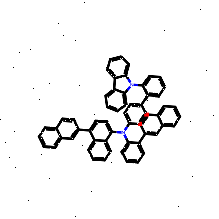 c1ccc(N(c2ccc(-c3ccccc3-n3c4ccccc4c4ccccc43)cc2)c2ccc(-c3ccc4ccccc4c3)c3ccccc23)c(-c2ccc3ccccc3c2)c1